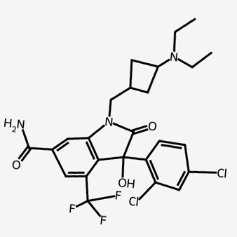 CCN(CC)C1CC(CN2C(=O)C(O)(c3ccc(Cl)cc3Cl)c3c2cc(C(N)=O)cc3C(F)(F)F)C1